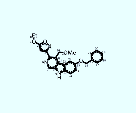 CCOc1cc(-c2ncc3[nH]c4ccc(OCc5ccccc5)cc4c3c2COC)no1